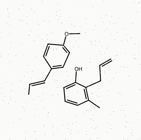 C=CCc1c(C)cccc1O.CC=Cc1ccc(OC)cc1